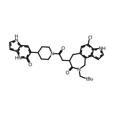 CC(C)(C)CN1Cc2c(cc(Cl)c3[nH]ccc23)CC(CC(=O)N2CCC(c3cc4[nH]ccc4[nH]c3=O)CC2)C1=O